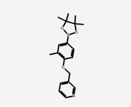 Cc1cc(B2OC(C)(C)C(C)(C)O2)ccc1OCc1cccnc1